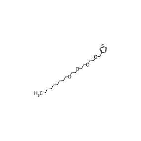 CCCCCCCCCOCCOCCOCCOCc1ccsc1